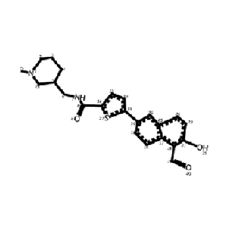 CN1CCCC(CNC(=O)c2ccc(-c3ccc4c(C=O)c(O)ccc4c3)s2)C1